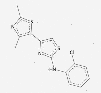 Cc1nc(C)c(-c2csc(Nc3ccccc3Cl)n2)s1